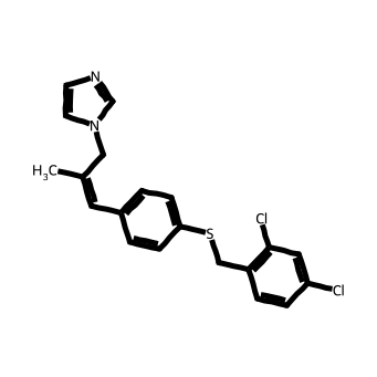 CC(=Cc1ccc(SCc2ccc(Cl)cc2Cl)cc1)Cn1ccnc1